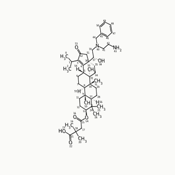 CC(C)C1=C2[C@H]3CC[C@@H]4[C@@]5(C)CC[C@H](OC(=O)CC(C)(C)C(=O)O)C(C)(C)[C@@H]5CC[C@@]4(C)[C@]3(C)CC[C@@]2([C@@H](O)CN(CCN)Cc2ccccc2)CC1=O